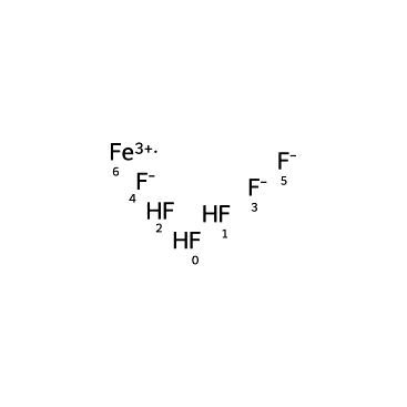 F.F.F.[F-].[F-].[F-].[Fe+3]